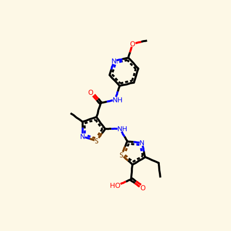 CCc1nc(Nc2snc(C)c2C(=O)Nc2ccc(OC)nc2)sc1C(=O)O